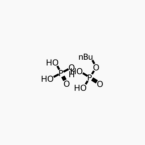 CCCCOP(=O)(O)O.O=P(O)(O)O